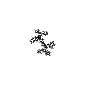 CC1(C)c2ccccc2-c2cc3c4c(n(-c5cc(-c6ccccc6)cc(-c6ccccc6)c5)c3cc21)=CCC(C1C=c2c(n(-c3cc(-c5ccccc5)cc(-c5ccccc5)c3)c3cc5c(cc23)-c2ccccc2C5(C)C)=CC1)C=4